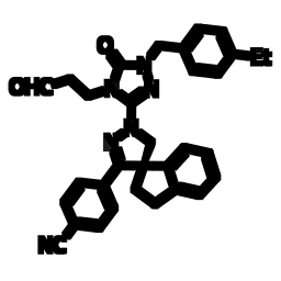 CCc1ccc(Cn2nc(N3C[C@@]4(CCc5ccccc54)C(c4ccc(C#N)cc4)=N3)n(CCC=O)c2=O)cc1